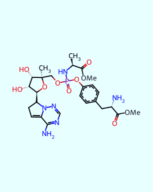 COC(=O)[C@H](C)NP(=O)(OC[C@@]1(C)O[C@@H](C2CC=C3C(N)=NC=NN32)[C@H](O)[C@@H]1O)Oc1ccc(C[C@H](N)C(=O)OC)cc1